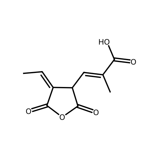 CC=C1C(=O)OC(=O)C1C=C(C)C(=O)O